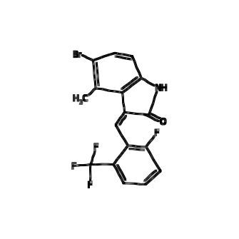 Cc1c(Br)ccc2c1C(=Cc1c(F)cccc1C(F)(F)F)C(=O)N2